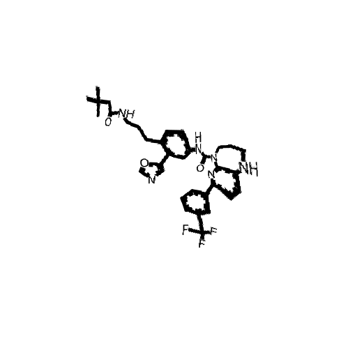 CC(C)(C)CC(=O)NCCCc1ccc(NC(=O)N2CCCNc3ccc(-c4cccc(C(F)(F)F)c4)nc32)cc1-c1cnco1